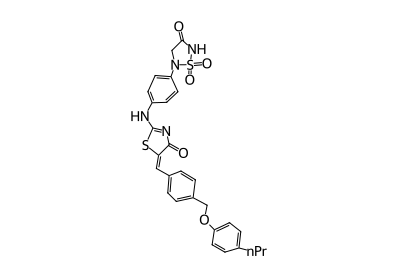 CCCc1ccc(OCc2ccc(/C=C3/SC(Nc4ccc(N5CC(=O)NS5(=O)=O)cc4)=NC3=O)cc2)cc1